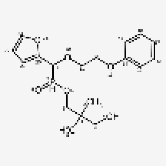 CC(C)(CO)CO[PH](=O)C(OCCOc1ccccc1)c1ccco1